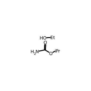 CC(C)OC(N)=O.CCO